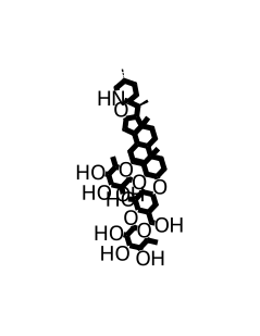 CC1OC(OC2C(CO)CC(OC3CCC4(C)C(=CCC5C4CCC4(C)C5CC5OC6(CC[C@@H](C)CN6)[C@@H](C)C54)C3)C(OC3OC(C)C(O)C(O)C3O)C2O)C(O)C(O)C1O